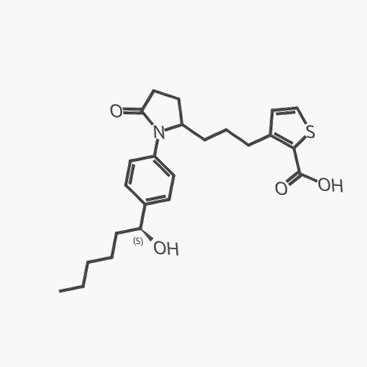 CCCCC[C@H](O)c1ccc(N2C(=O)CCC2CCCc2ccsc2C(=O)O)cc1